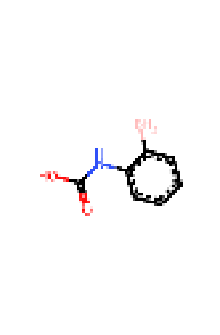 Bc1ccccc1NC(=O)O